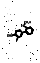 O=Cc1ccc(-c2ccccc2NC(=O)O)cc1F